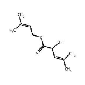 CC(C)=CCOC(=O)C(O)C=C(C)C